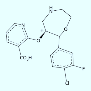 O=C(O)c1cccnc1O[C@H]1CNCCOC1c1ccc(Cl)c(F)c1